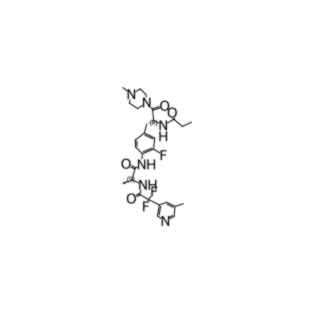 CCC(=O)N[C@H](Cc1ccc(NC(=O)[C@H](C)NC(=O)C(F)(F)c2cncc(C)c2)c(F)c1)C(=O)N1CCN(C)CC1